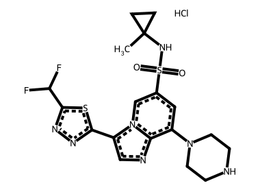 CC1(NS(=O)(=O)c2cc(N3CCNCC3)c3ncc(-c4nnc(C(F)F)s4)n3c2)CC1.Cl